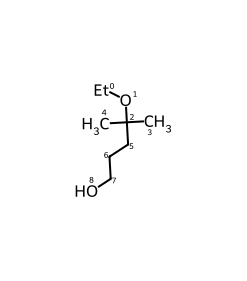 CCOC(C)(C)CCCO